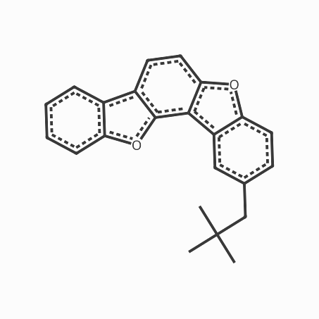 CC(C)(C)Cc1ccc2oc3ccc4c5ccccc5oc4c3c2c1